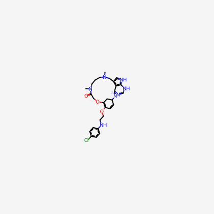 CN1CCCN(C)C(=O)COC2=C(OCCNc3ccc(Cl)cc3)C=CC(C2)/N=C2\N=CNc3[nH]cc(c32)C1